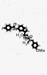 COc1ccc(CN(C)S(=O)(=O)CC(C)(N)c2csc3ccc(NC(=O)c4ccc(F)cc4)cc23)cc1